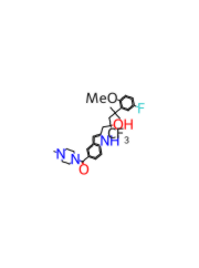 COc1ccc(F)cc1C(C)(C)CC(O)(Cc1cc2cc(C(=O)N3CCN(C)CC3)ccc2[nH]1)C(F)(F)F